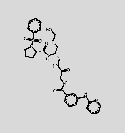 O=C(CNC(=O)c1cccc(Nc2ccccn2)c1)NC[C@@H](COCO)NC(=O)[C@@H]1CCCN1S(=O)(=O)c1ccccc1